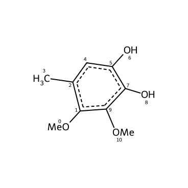 COc1c(C)cc(O)c(O)c1OC